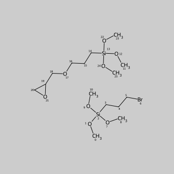 CO[Si](CCCBr)(OC)OC.CO[Si](CCCOCC1CO1)(OC)OC